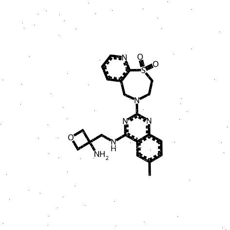 Cc1ccc2nc(N3CCS(=O)(=O)c4ncccc4C3)nc(NCC3(N)COC3)c2c1